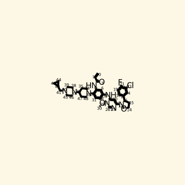 C=CC(=O)Nc1cc(Nc2cc(N3OCCC3c3ccc(F)c(Cl)c3)ncn2)c(OC)cc1N1CCC(N2CCN(CC3CC3)CC2)CC1